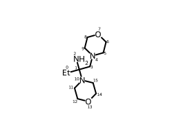 CCC(N)(CN1CCOCC1)N1CCOCC1